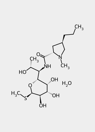 CCC[C@@H]1C[C@@H](C(=O)N[C@@H]([C@H]2O[C@H](SC)[C@H](O)[C@@H](O)[C@H]2O)[C@@H](C)O)N(C)C1.O